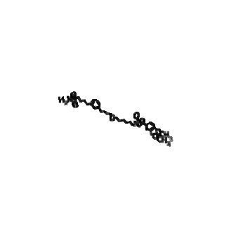 CC1(C)OCc2cc(C3CN(CCCCCCOCCCCc4cccc(CCCCS(N)(=O)=O)c4)C(=O)O3)ccc2O1